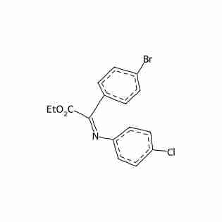 CCOC(=O)/C(=N/c1ccc(Cl)cc1)c1ccc(Br)cc1